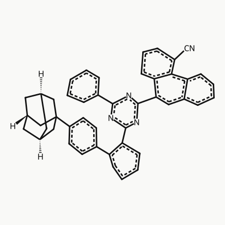 N#Cc1cccc2c(-c3nc(-c4ccccc4)nc(-c4ccccc4-c4ccc(C56C[C@H]7C[C@@H](C5)C[C@@H](C6)C7)cc4)n3)cc3ccccc3c12